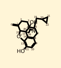 C=C1CC[C@]2(O)C3Cc4ccc(O)c5c4[C@]2(CCN3CC2CC2)C1O5